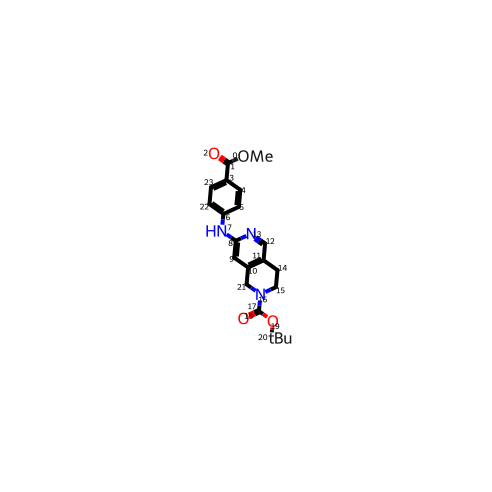 COC(=O)c1ccc(Nc2cc3c(cn2)CCN(C(=O)OC(C)(C)C)C3)cc1